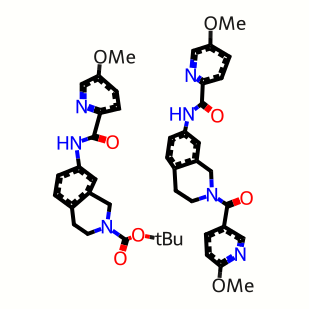 COc1ccc(C(=O)Nc2ccc3c(c2)CN(C(=O)OC(C)(C)C)CC3)nc1.COc1ccc(C(=O)Nc2ccc3c(c2)CN(C(=O)c2ccc(OC)nc2)CC3)nc1